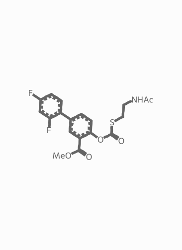 COC(=O)c1cc(-c2ccc(F)cc2F)ccc1OC(=O)SCCNC(C)=O